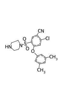 Cc1cc(C)cc(Oc2cc(Cl)c(C#N)cc2S(=O)(=O)N2CCNCC2)c1